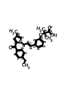 CCc1ccc(C(=O)c2cc(C)cn2C/C=C/c2cccc(OC(C)(C)C(=O)O)c2)cc1